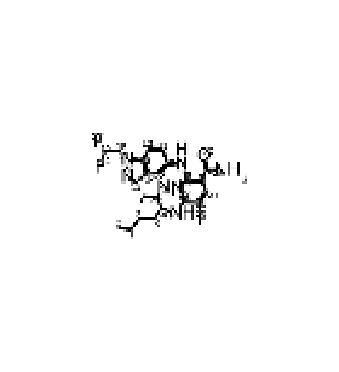 CCCCC(Nc1nc(Nc2ccc3c(cnn3CC(F)F)c2)c(C(N)=O)cc1F)C(C)N